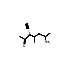 C#C[C@@H](C(C)=O)C(C)CC(C)N